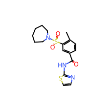 Cc1ccc(C(=O)Nc2nccs2)cc1S(=O)(=O)N1CCCCCC1